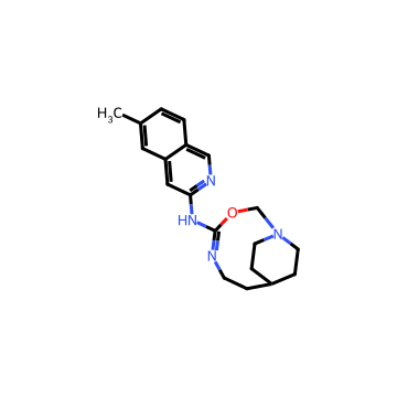 Cc1ccc2cnc(N/C3=N/CCC4CCN(CC4)CO3)cc2c1